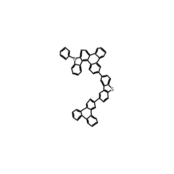 c1ccc(-n2c3ccccc3c3c4c(ccc32)c2ccccc2c2cc(-c3ccc5sc6ccc(-c7ccc8c9ccccc9c9ccccc9c8c7)cc6c5c3)ccc24)cc1